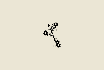 Cc1cnccc1CC(=O)NC(CCN(CCCCc1ccc2c(n1)NCCC2)CCOc1ccccc1)C(=O)O